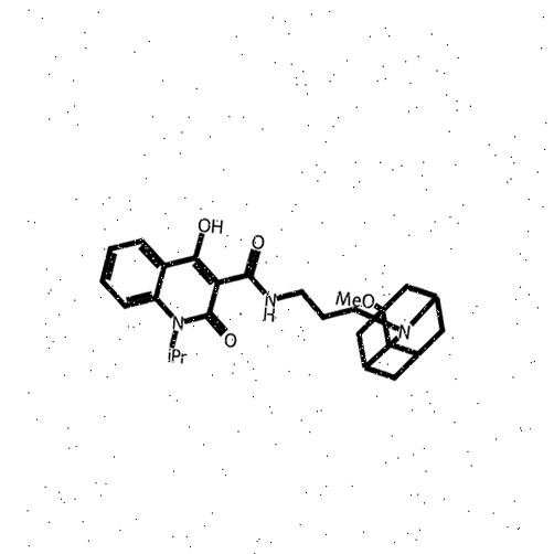 COC12CC3CC(C1)N(CCCNC(=O)c1c(O)c4ccccc4n(C(C)C)c1=O)C(C3)C2